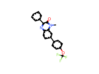 Cn1c(=O)c(-c2ccccc2)nc2ccc(-c3ccc(OC(F)(F)F)cc3)cc21